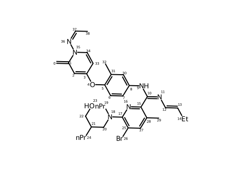 C=C1C=C(Oc2ccc(N/C(=N/C=C/CC)c3nc(N(CCC)CC(CO)CCC)c(Br)cc3C)cc2C)C=CN1/N=C\C